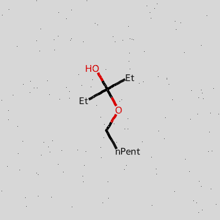 CCCCCCOC(O)(CC)CC